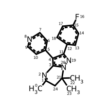 CC1=Nc2c(-c3ccncc3)c(-c3ccc(F)cc3)nn2C(C)(C)C1